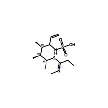 C=CC(NS(=O)(=O)O)[C@H](C)[C@H](C)[C@@H](C)S/C(CC)=N\C